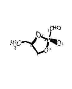 CC1COP(=O)(C=O)O1